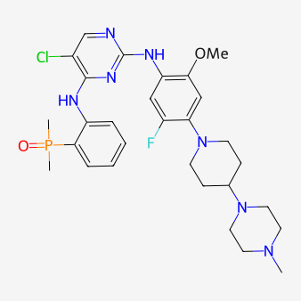 COc1cc(N2CCC(N3CCN(C)CC3)CC2)c(F)cc1Nc1ncc(Cl)c(Nc2ccccc2P(C)(C)=O)n1